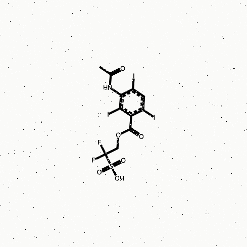 CC(=O)Nc1c(I)cc(I)c(C(=O)OCC(F)(F)S(=O)(=O)O)c1I